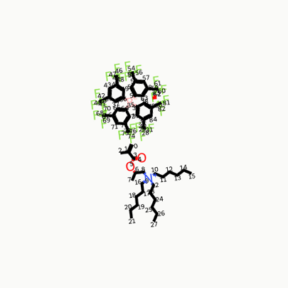 C=C(C)C(=O)OC(C)C[N+](CCCCCC)(CCCCCC)CCCCCC.FC(F)(F)c1cc([B-](c2cc(C(F)(F)F)cc(C(F)(F)F)c2)(c2cc(C(F)(F)F)cc(C(F)(F)F)c2)c2cc(C(F)(F)F)cc(C(F)(F)F)c2)cc(C(F)(F)F)c1